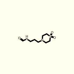 O=CNCCCN1CCS(=O)(=O)CC1